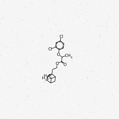 CC(Oc1ccc(Cl)cc1Cl)C(=O)OCCC1=CCC2CC1C2(C)C